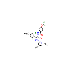 COc1cc(F)c(-c2c(NC(=O)c3ccc(OC(F)F)cc3)c(=O)n(-c3cc(C#N)cc(C(F)(F)F)n3)n2C)c(F)c1